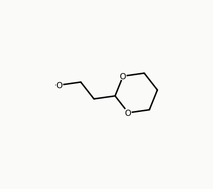 [O]CCC1OCCCO1